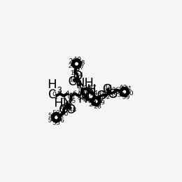 CCCCC[C@@H](CC[C@H]1[C@H](CNC(=O)OCc2ccccc2)C[C@@H]2Cc3c(cccc3OCC(=O)OCc3ccccc3)C[C@@H]21)CNC(=O)OCc1ccccc1